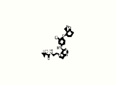 O=C(NCCn1ccc2ncnc(Nc3ccc(Oc4cccc5sncc45)c(Cl)c3)c21)C1(O)CC1